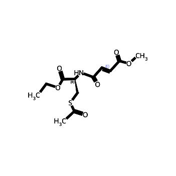 CCOC(=O)[C@H](CSC(C)=O)NC(=O)/C=C/C(=O)OC